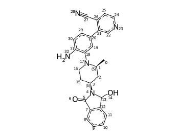 C[C@H]1C[C@@H](N2C(=O)c3ccccc3C2O)CCN1c1cc(-c2cnccc2C#N)ccc1N